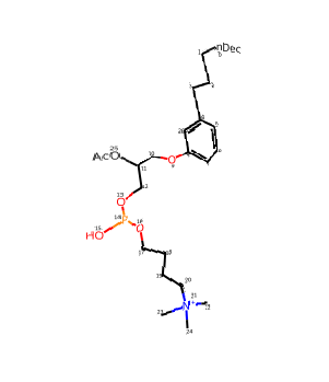 CCCCCCCCCCCCCc1cccc(OCC(COP(O)OCCCC[N+](C)(C)C)OC(C)=O)c1